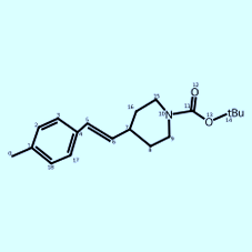 Cc1ccc(/C=C/C2CCN(C(=O)OC(C)(C)C)CC2)cc1